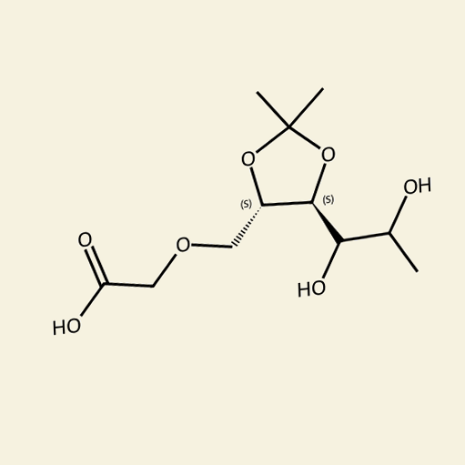 CC(O)C(O)[C@@H]1OC(C)(C)O[C@H]1COCC(=O)O